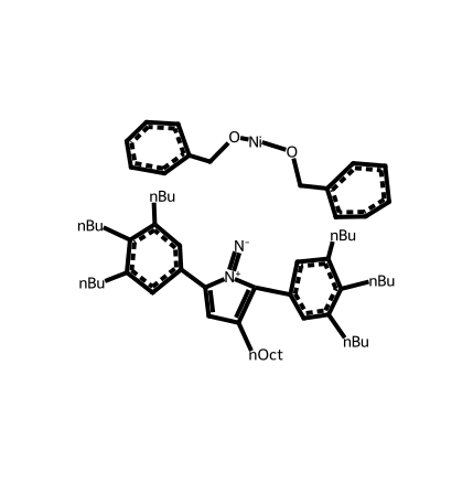 CCCCCCCCC1=C(c2cc(CCCC)c(CCCC)c(CCCC)c2)[N+](=[N-])C(c2cc(CCCC)c(CCCC)c(CCCC)c2)=C1.c1ccc(C[O][Ni][O]Cc2ccccc2)cc1